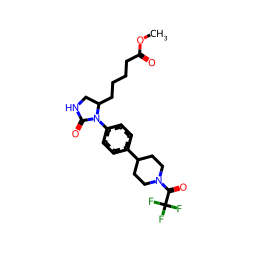 COC(=O)CCCCC1CNC(=O)N1c1ccc(C2CCN(C(=O)C(F)(F)F)CC2)cc1